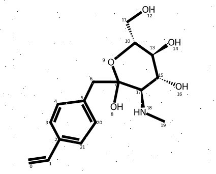 C=Cc1ccc(CC2(O)O[C@H](CO)[C@@H](O)[C@H](O)[C@H]2NC)cc1